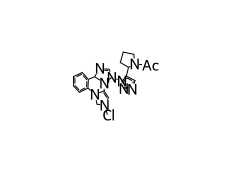 CC(=O)N1CCCC1c1cnnn1N1C=NC2c3ccccc3N3CN(Cl)C=C3N21